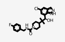 CC(C)(C1CCN(C(=O)NCc2ccc(F)cc2)CC1)[C@H](O)c1cc(Cl)cc2cn[nH]c12